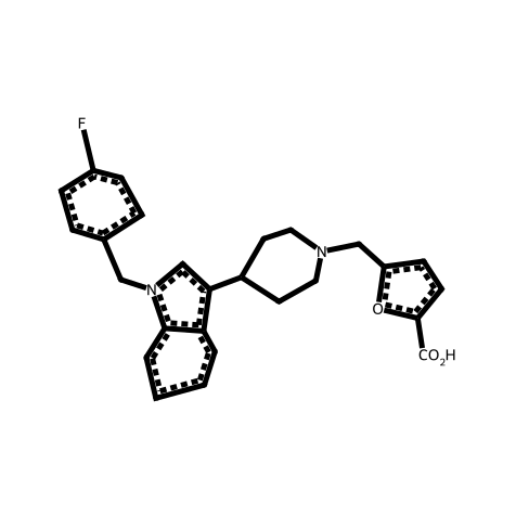 O=C(O)c1ccc(CN2CCC(c3cn(Cc4ccc(F)cc4)c4ccccc34)CC2)o1